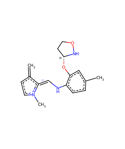 C=c1ccn(C)/c1=C\Nc1ccc(C)cc1O[C@@H]1CCON1